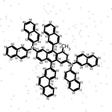 CC1CC(N(c2ccc3ccccc3c2)c2ccc3ccccc3c2)=Cc2c1c(-c1ccc3ccccc3c1)c1cc(N(c3ccc4ccccc4c3)c3ccc4ccccc4c3)ccc1c2-c1ccc2c(ccc3ccccc32)c1